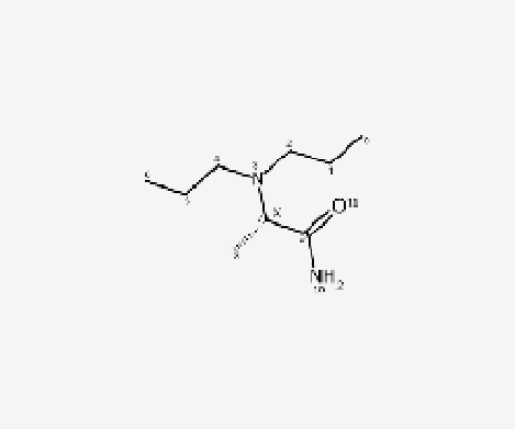 CCCN(CCC)[C@@H](C)C(N)=O